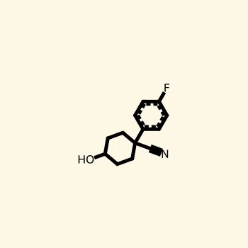 N#CC1(c2ccc(F)cc2)CCC(O)CC1